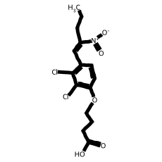 CCC/C(=C/c1ccc(OCCCC(=O)O)c(Cl)c1Cl)[N+](=O)[O-]